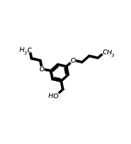 CCCCOc1cc([CH]O)cc(OCCC)c1